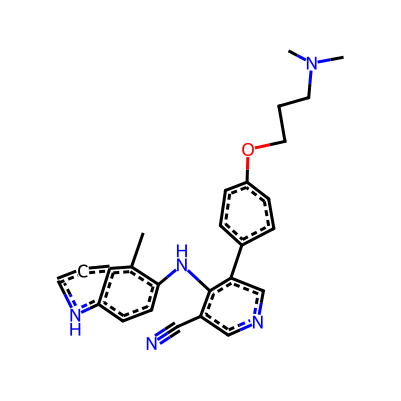 Cc1c(Nc2c(C#N)cncc2-c2ccc(OCCCN(C)C)cc2)ccc2[nH]ccc12